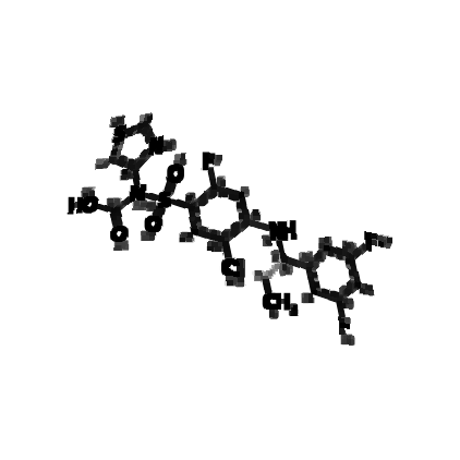 CC[C@H](Nc1cc(F)c(S(=O)(=O)N(C(=O)O)c2cscn2)cc1Cl)c1cc(F)cc(F)c1